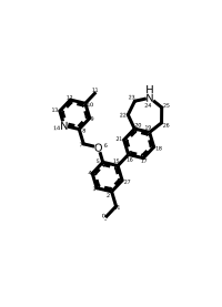 [CH2][CH]c1ccc(OCc2cc(C)ccn2)c(-c2ccc3c(c2)CCNCC3)c1